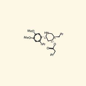 CCCc1cc(OC)c(OC)cc1[C@H]1C[C@@H](OC(=O)CC(C)C)[C@H](CC(C)C)CN1